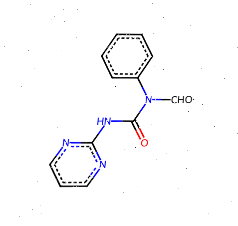 O=[C]N(C(=O)Nc1ncccn1)c1ccccc1